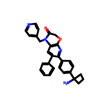 NC1(c2ccc(-c3nc4c(cc3-c3ccccc3)N(Cc3ccncc3)C(=O)CO4)cc2)CCC1